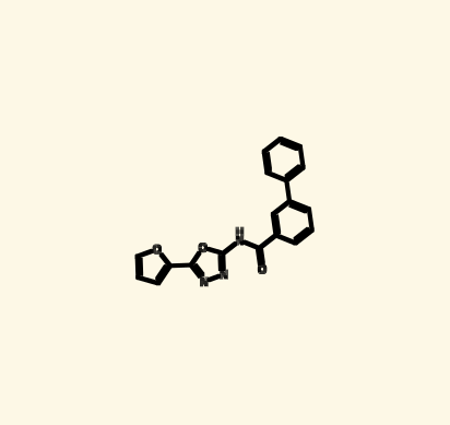 O=C(Nc1nnc(-c2ccco2)o1)c1cccc(-c2ccccc2)c1